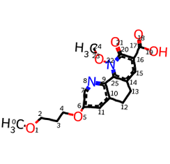 COCCCOc1cnc2c(c1)CCc1cc(C(=O)O)c(=O)n(OC)c1-2